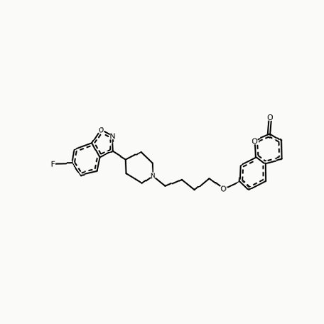 O=c1ccc2ccc(OCCCCN3CCC(c4noc5cc(F)ccc45)CC3)cc2o1